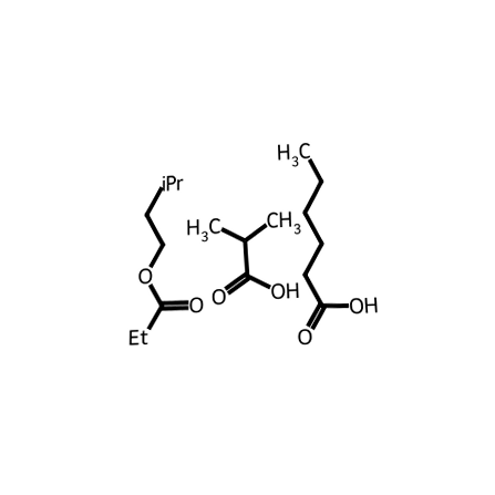 CC(C)C(=O)O.CCC(=O)OCCC(C)C.CCCCCC(=O)O